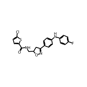 O=C(NCC1CC(c2ccc(Nc3ccc(F)cc3)cc2)=NO1)c1ccc(Cl)s1